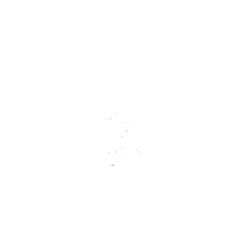 COCCOc1ccc2c(c1)ncn2-c1ccc2cccc(-c3cccnc3)c2n1